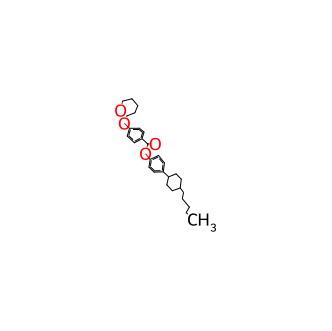 CCCCCC1CCC(c2ccc(OC(=O)c3ccc(OC4CCCCO4)cc3)cc2)CC1